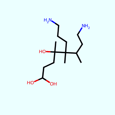 C[C](CCN)C(C)(CCCN)C(C)(O)CCC(O)O